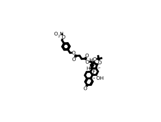 CC1(C)O[C@@H]2C[C@H]3C4CCC5=CC(=O)C=C[C@]5(C)[C@@]4(F)[C@@H](O)C[C@]3(C)[C@]2(C(=O)COC(=O)CCC(=O)OCc2ccc(CO[N+](=O)[O-])cc2)O1